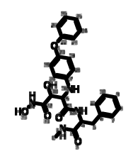 CNC(=O)C(Cc1ccccc1)NC(=O)C(Nc1ccc(Oc2ccccc2)cc1)C(O)C(=O)NO